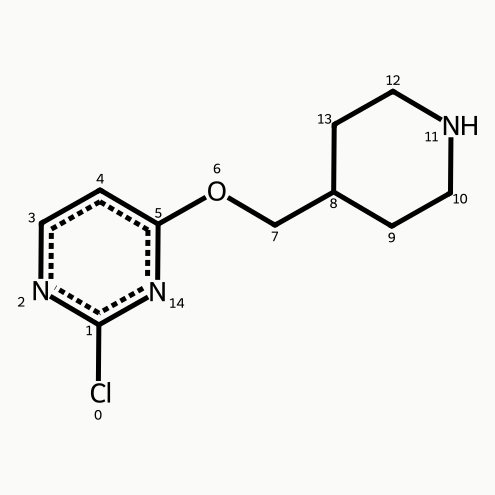 Clc1nccc(OCC2CCNCC2)n1